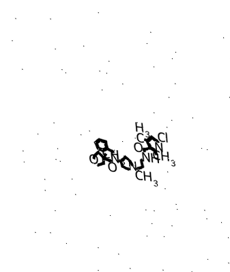 Cc1cc(Cl)nc(C)c1C(=O)NCC[C@@H](C)N1CCC(N(Cc2ccccc2)C(=O)C2(C)CCOCC2)CC1